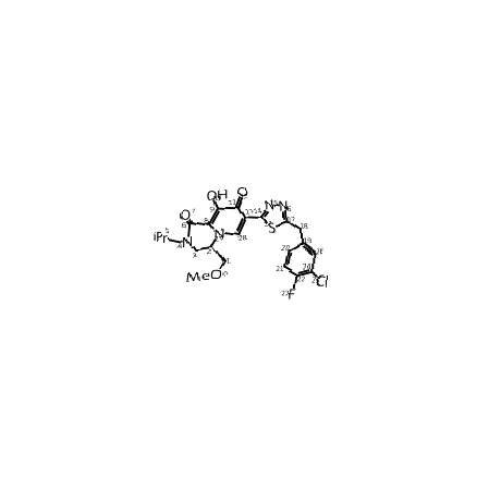 COC[C@H]1CN(C(C)C)C(=O)c2c(O)c(=O)c(-c3nnc(Cc4ccc(F)c(Cl)c4)s3)cn21